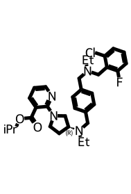 CCN(Cc1ccc(CN(CC)[C@@H]2CCN(c3ncccc3C(=O)OC(C)C)C2)cc1)Cc1c(F)cccc1Cl